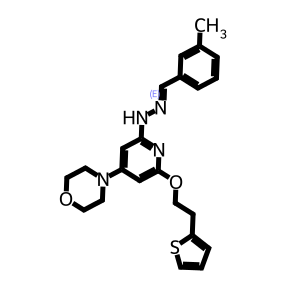 Cc1cccc(/C=N/Nc2cc(N3CCOCC3)cc(OCCc3cccs3)n2)c1